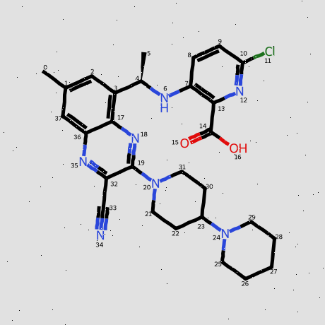 Cc1cc([C@@H](C)Nc2ccc(Cl)nc2C(=O)O)c2nc(N3CCC(N4CCCCC4)CC3)c(C#N)nc2c1